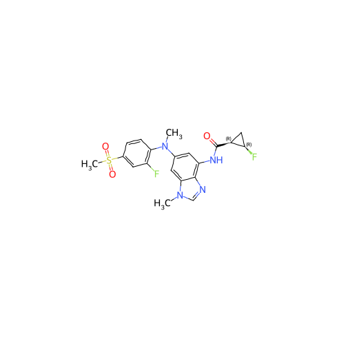 CN(c1cc(NC(=O)[C@H]2C[C@H]2F)c2ncn(C)c2c1)c1ccc(S(C)(=O)=O)cc1F